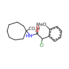 COc1ccccc1C(Cl)C(=O)NC1(C(=O)O)CCCCCCC1